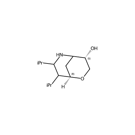 CC(C)C1NC2C[C@@H](OC[C@H]2O)C1C(C)C